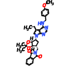 CCc1cn([C@@H]2C[C@H](CN3C(=O)c4ccccc4C3=O)[C@H]3OC(C)(C)O[C@H]32)c2ncnc(NCc3ccc(OC)cc3)c12